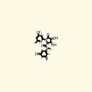 Cc1cc(C(F)(F)F)cc(N2C(=O)[C@@H](O)[C@@H](O)[C@H]2C(=O)N(C)c2cc(F)cc(Cl)c2)n1